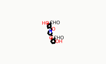 O=Cc1cc(C(=O)N2CCCC(COc3cccc(O)c3C=O)C2)ccc1O